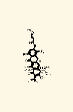 CO[C@@]12C(=O)C(C(N)=O)=C(O)[C@@H](N(C)C)[C@@H]1C[C@@H]1Cc3c(c(O)cc(CNCCOC(C)C)c3C(F)(F)F)C(=O)C1=C2O